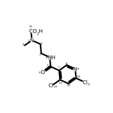 CN(CCNC(=O)c1cnc(Cl)cc1Cl)C(=O)O